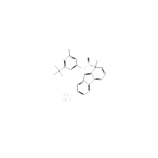 Cl.Cl.[CH2]=[Ti]([O]c1cc(C)cc(C(C)(C)C)c1)[C]1(C)C=CC=C2C1=Cc1ccccc12